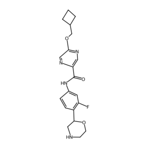 O=C(Nc1ccc(C2CNCCO2)c(F)c1)c1cnc(OCC2CCC2)cn1